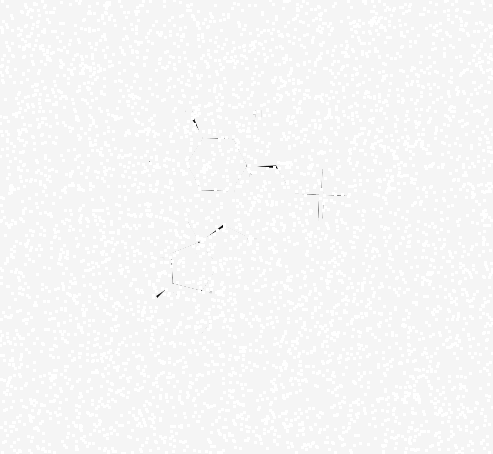 O=P([O-])([O-])OC[C@H]1O[C@H](O[C@]2(CO)O[C@H](CO)[C@@H](O)[C@@H]2O)[C@H](O)[C@@H](O)[C@@H]1O.[Ca+2]